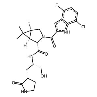 CC1(C)[C@@H]2[C@@H](C(=O)N[C@H](CO)C[C@@H]3CCNC3=O)N(C(=O)c3cc4c(F)ccc(Cl)c4[nH]3)C[C@@H]21